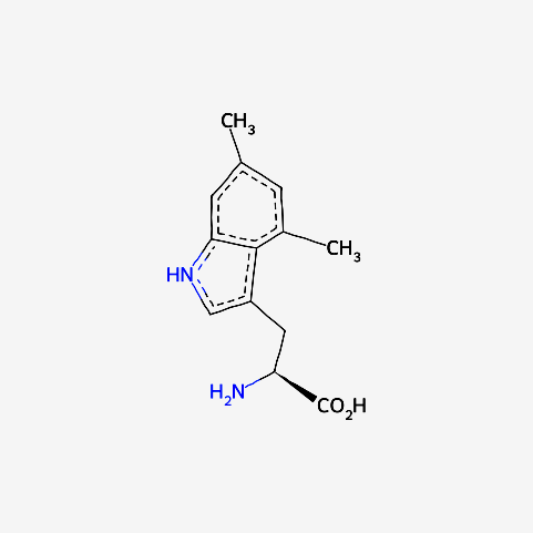 Cc1cc(C)c2c(C[C@H](N)C(=O)O)c[nH]c2c1